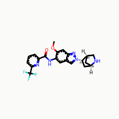 COc1cc2nn([C@H]3C[C@H]4C[C@@H]3CN4)cc2cc1NC(=O)c1cccc(C(F)(F)F)n1